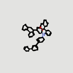 c1ccc(-c2cccc(-c3ccc(N(c4cccc(-c5cc6ccccc6c6ccccc56)c4)c4ccccc4-c4cccc5ccccc45)cc3)c2)cc1